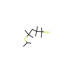 CC(C)SC(C)(C)CC(C)(C)C(C)(C)S